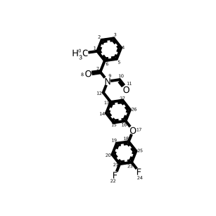 Cc1ccccc1C(=O)N(C=O)Cc1ccc(Oc2ccc(F)c(F)c2)cc1